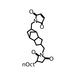 CCCCCCCCC1CC(=O)N(CC2CC3C4CC(CN5C(=O)C=CC5=O)C(C4)C3C2)C1=O